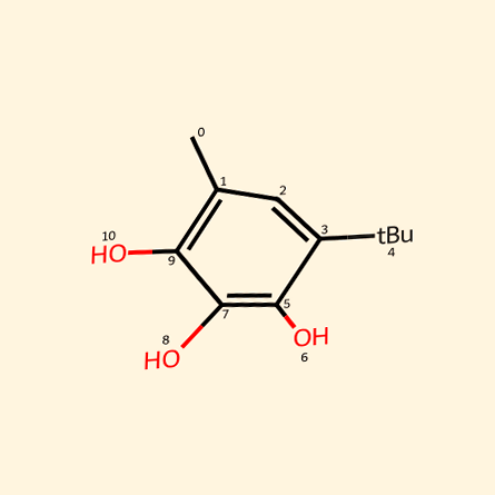 Cc1cc(C(C)(C)C)c(O)c(O)c1O